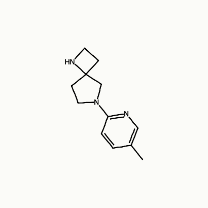 Cc1ccc(N2CCC3(CCN3)C2)nc1